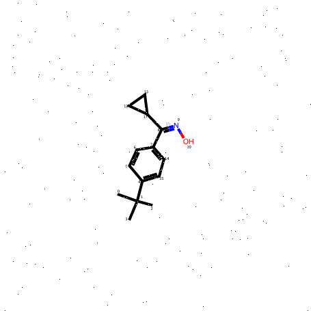 CC(C)(C)c1ccc(/C(=N\O)C2CC2)cc1